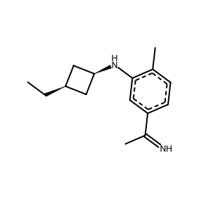 CC[C@H]1C[C@@H](Nc2cc(C(C)=N)ccc2C)C1